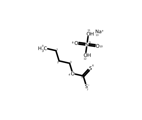 CCCCOC(=S)[S-].O=S(=O)(O)O.[Na+]